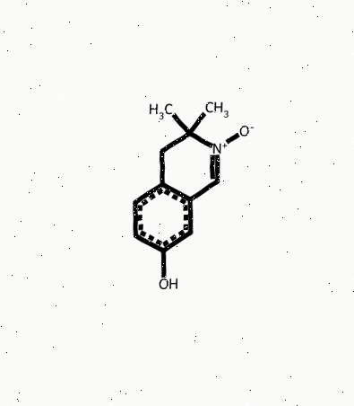 CC1(C)Cc2ccc(O)cc2C=[N+]1[O-]